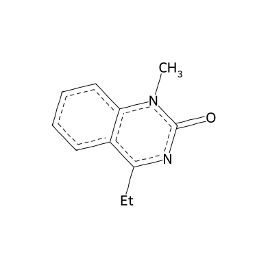 CCc1nc(=O)n(C)c2ccccc12